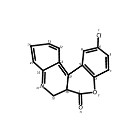 O=C1Oc2ccc(Cl)cc2C2=c3ccccc3=NCC12